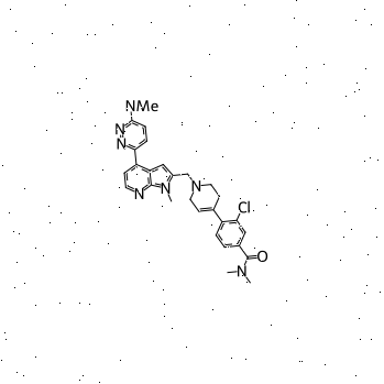 CNc1ccc(-c2ccnc3c2cc(CN2CC=C(c4ccc(C(=O)N(C)C)cc4Cl)CC2)n3C)nn1